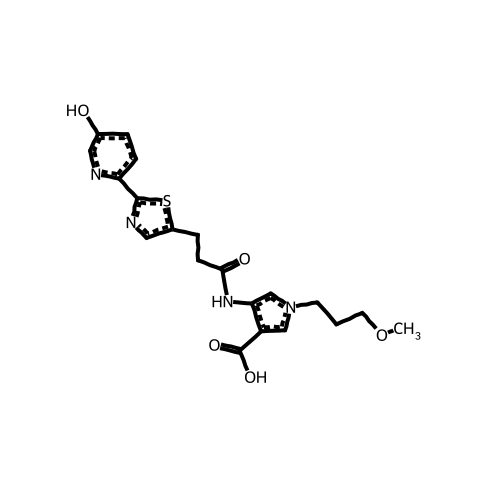 COCCCn1cc(NC(=O)CCc2cnc(-c3ccc(O)cn3)s2)c(C(=O)O)c1